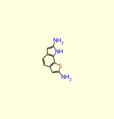 Nc1cc2ccc3cc(N)sc3c2[nH]1